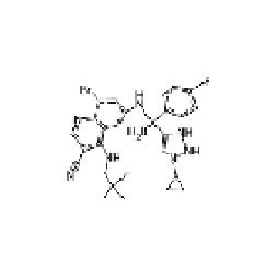 BC(Nc1cc(Br)c2ncc(C#N)c(NCC(C)(C)C)c2c1)(C1=CN(C2CC2)NN1)c1ccc(F)cc1